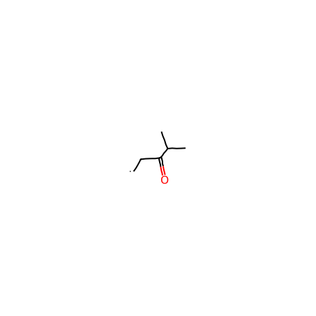 [CH2]CC(=O)C(C)C